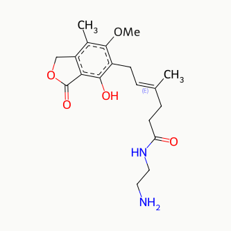 COc1c(C)c2c(c(O)c1C/C=C(\C)CCC(=O)NCCN)C(=O)OC2